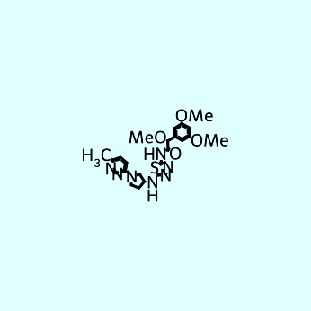 COc1cc(OC)cc([C@H](OC)C(=O)Nc2nnc(N[C@@H]3CCN(c4ccc(C)nn4)C3)s2)c1